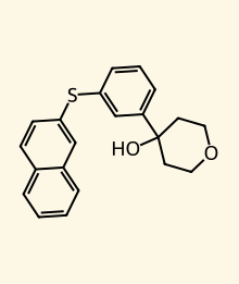 OC1(c2cccc(Sc3ccc4ccccc4c3)c2)CCOCC1